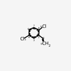 C=[C]c1cc(Cl)ccc1Cl